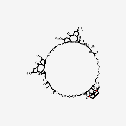 C=C1C[C@H]2CN3C(=O)CNC(=O)[C@H](C(C)C)CC(=O)CCOCCOCCNC(=O)C(N4C(=O)C=CC4=O)C(C4C(=O)C=CC4=O)C(=O)NCCOCCOCCC(=O)N[C@@H](C(C)C)C(=O)NCC(=O)N4c5cc(c(OC)cc5C(=O)N5CC(=C)C[C@H]5[C@@H]4O)OCCCCCOc4cc3c(cc4OC)C(=O)N2C1